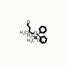 C[C@H](CC=O)CO[Si](c1ccccc1)(c1ccccc1)C(C)(C)C